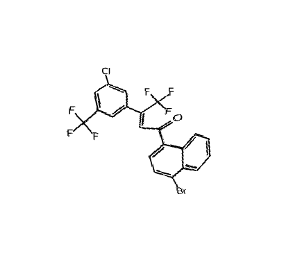 O=C(C=C(c1cc(Cl)cc(C(F)(F)F)c1)C(F)(F)F)c1ccc(Br)c2ccccc12